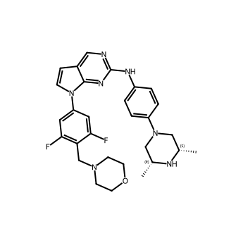 C[C@@H]1CN(c2ccc(Nc3ncc4ccn(-c5cc(F)c(CN6CCOCC6)c(F)c5)c4n3)cc2)C[C@H](C)N1